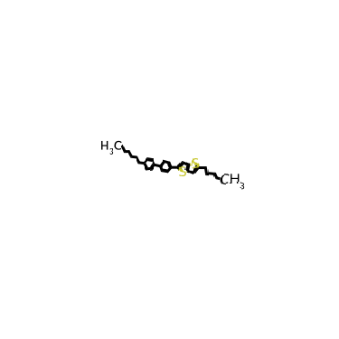 CCCCCCCc1ccc(-c2ccc(-c3cc4sc(CCCCC)cc4s3)cc2)cc1